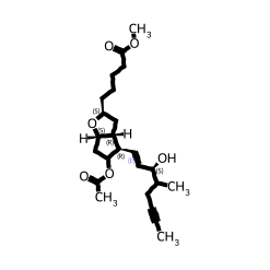 CC#CCC(C)[C@H](O)/C=C/[C@H]1C(OC(C)=O)C[C@@H]2O[C@@H](CCCCC(=O)OC)C[C@@H]21